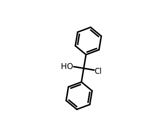 OC(Cl)(c1ccccc1)c1ccccc1